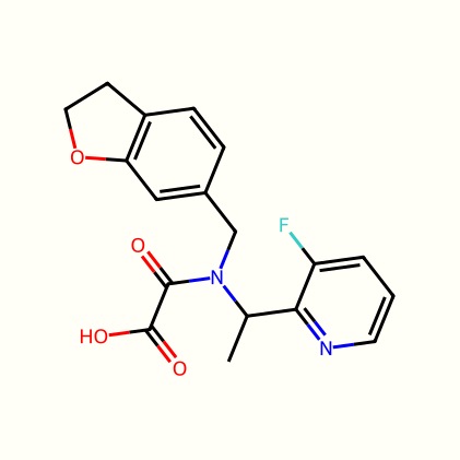 CC(c1ncccc1F)N(Cc1ccc2c(c1)OCC2)C(=O)C(=O)O